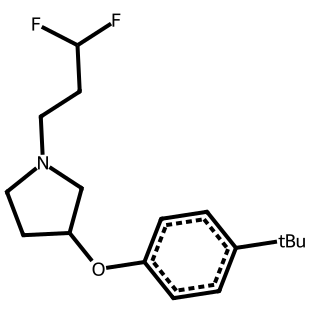 CC(C)(C)c1ccc(OC2CCN(CCC(F)F)C2)cc1